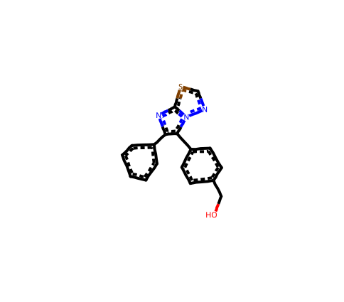 OCc1ccc(-c2c(-c3ccccc3)nc3scnn23)cc1